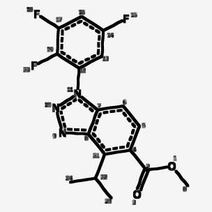 COC(=O)c1ccc2c(nnn2-c2cc(F)cc(F)c2F)c1C(C)C